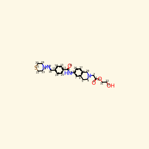 O=C(CN1CCc2cc(NC(=O)c3ccc(/C=N/N4CCSCC4)cc3)ccc2C1)OCCO